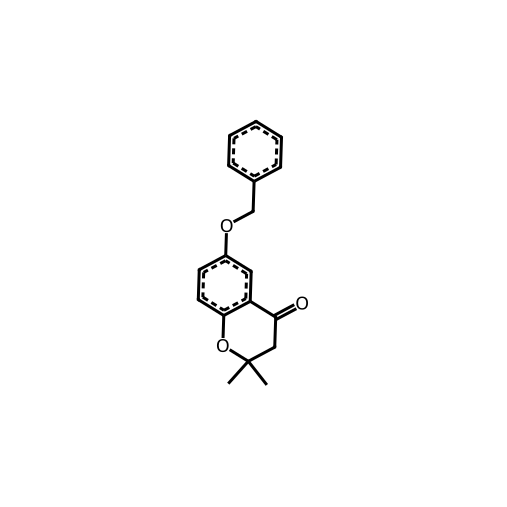 CC1(C)CC(=O)c2cc(OCc3ccccc3)ccc2O1